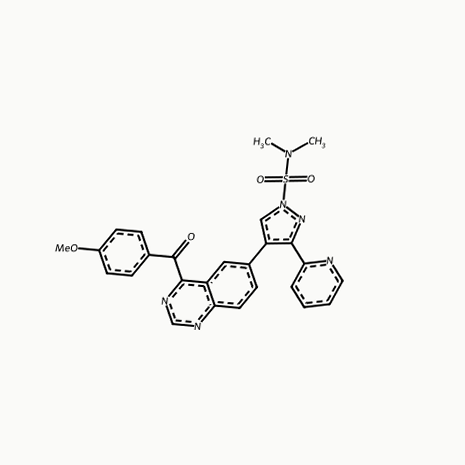 COc1ccc(C(=O)c2ncnc3ccc(-c4cn(S(=O)(=O)N(C)C)nc4-c4ccccn4)cc23)cc1